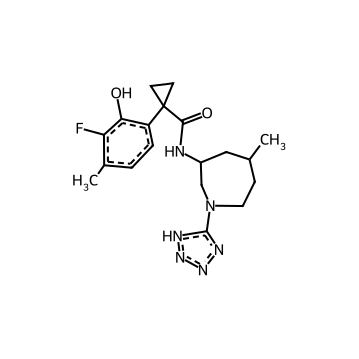 Cc1ccc(C2(C(=O)NC3CC(C)CCN(c4nnn[nH]4)C3)CC2)c(O)c1F